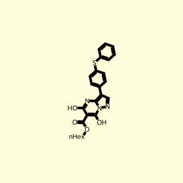 CCCCCCOC(=O)c1c(O)nc2c(-c3ccc(Sc4ccccc4)cc3)cnn2c1O